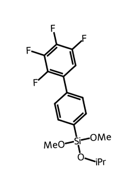 CO[Si](OC)(OC(C)C)c1ccc(-c2cc(F)c(F)c(F)c2F)cc1